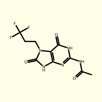 CC(=O)Nc1nc2[nH]c(=O)n(CCC(F)(F)F)c2c(=O)[nH]1